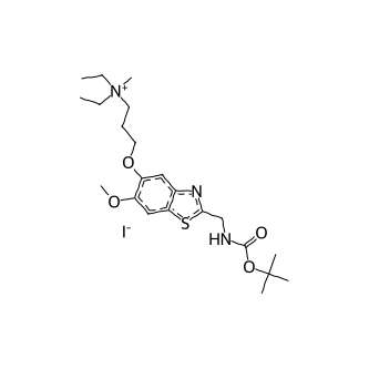 CC[N+](C)(CC)CCCOc1cc2nc(CNC(=O)OC(C)(C)C)sc2cc1OC.[I-]